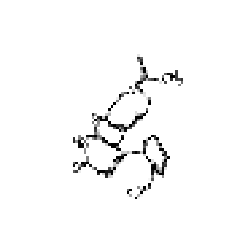 CC(=S)N1CCc2c(sc3c2C(c2ccccc2Cl)=NCC(=S)N3)C1